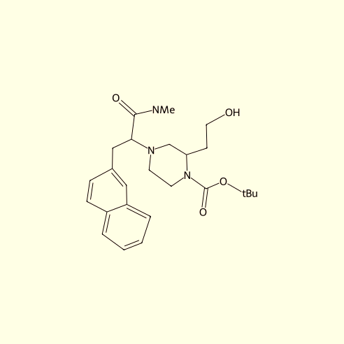 CNC(=O)C(Cc1ccc2ccccc2c1)N1CCN(C(=O)OC(C)(C)C)C(CCO)C1